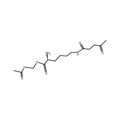 CC(=O)CCC(=O)NCCCC[C@H](N)C(=O)OCOC(C)=O